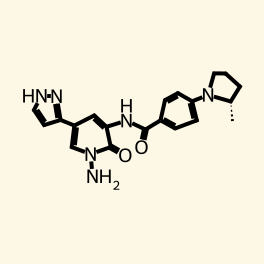 C[C@H]1CCCN1c1ccc(C(=O)Nc2cc(-c3cc[nH]n3)cn(N)c2=O)cc1